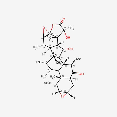 CC(=O)O[C@H]1C(=O)[C@H]2C[C@@H]3O[C@@H]3[C@H](OC(C)=O)[C@]2(C)C2[C@@H]1[C@@H]1[C@@H](O)[C@@H]3[C@H]([C@H](C)[C@@H]4O[C@@]45OC(=O)[C@@](C)(O)[C@]35C)[C@@]1(C)[C@@H](OC(C)=O)[C@H]2C